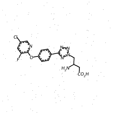 NC(CC(=O)O)Cn1nnc(-c2ccc(Oc3ncc(Cl)cc3F)cc2)n1